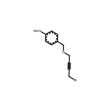 COc1ccc(COCC#CCBr)cc1